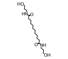 O=C(CCCCCCCCCCC(=O)NCCCO)NCCCO